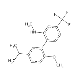 CNc1cc(C(F)(F)F)ccc1-c1cc(C(C)C)ccc1OC